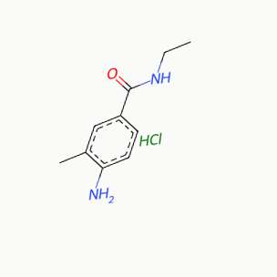 CCNC(=O)c1ccc(N)c(C)c1.Cl